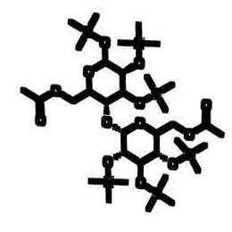 CC(=O)OCC1OC(O[Si](C)(C)C)[C@@H](O[Si](C)(C)C)C(O[Si](C)(C)C)[C@@H]1O[C@@H]1OC(COC(C)=O)[C@H](O[Si](C)(C)C)C(O[Si](C)(C)C)[C@@H]1O[Si](C)(C)C